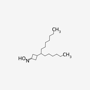 CCCCCCCC(CCCCCC)C1CC(=NO)C1